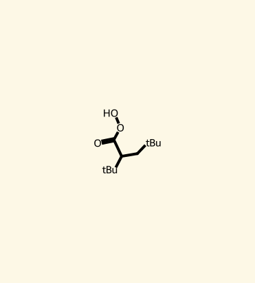 CC(C)(C)CC(C(=O)OO)C(C)(C)C